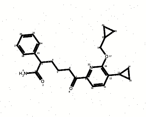 NC(=O)C(CCCC(=O)c1ccc(C2CC2)c(OCC2CC2)n1)c1ccccc1